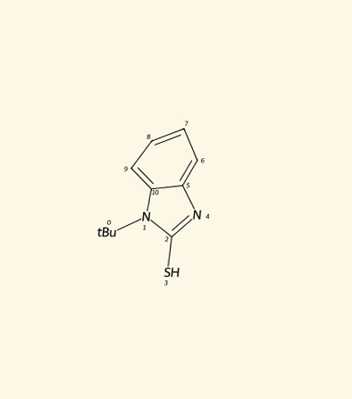 CC(C)(C)n1c(S)nc2ccccc21